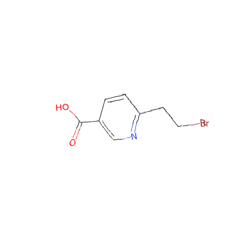 O=C(O)c1ccc(CCBr)nc1